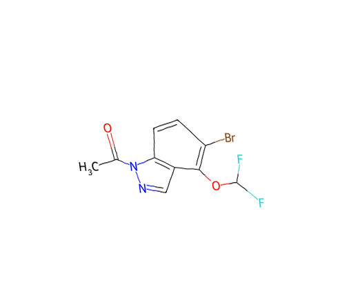 CC(=O)n1ncc2c(OC(F)F)c(Br)ccc21